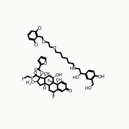 C[C@@H]1C[C@H]2C3C[C@H](F)C4=CC(=O)C=C[C@]4(C)[C@@]3(F)[C@@H](O)C[C@]2(C)[C@@]1(OC(=O)c1ccco1)C(=O)SCF.OCc1cc([C@@H](O)CNCCCCCCOCCOCc2c(Cl)cccc2Cl)ccc1O